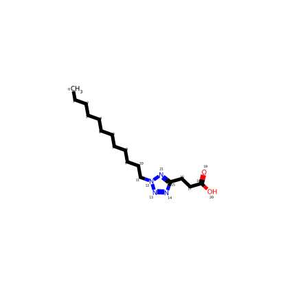 CCCCCCCCCCCCn1nnc(CCC(=O)O)n1